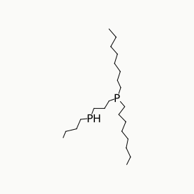 CCCCCCCCP(CCCCCCCC)CCCPCCCC